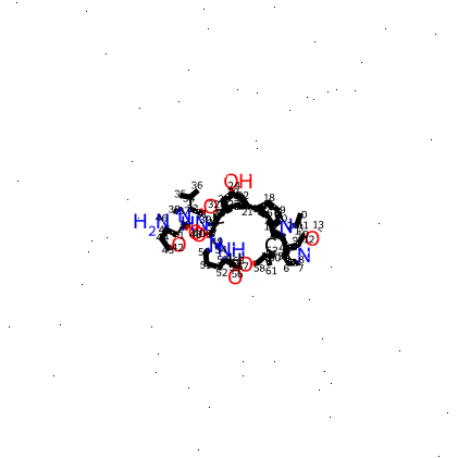 CCn1c(-c2cccnc2[C@H](C)OC)c2c3cc(ccc31)-c1cc(O)cc(c1)C[C@H](NC(=O)[C@H](C(C)C)N(C)C(=O)[C@H]1OCC[C@H]1N)C(=O)N1CCC[C@H](N1)C(=O)OCC(C)(C)C2